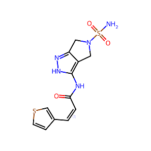 NS(=O)(=O)N1Cc2n[nH]c(NC(=O)/C=C\c3ccsc3)c2C1